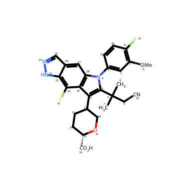 COc1cc(-n2c(C(C)(C)CC#N)c(C3CC[C@@H](C(=O)O)OC3)c3c(F)c4[nH]ncc4cc32)ccc1F